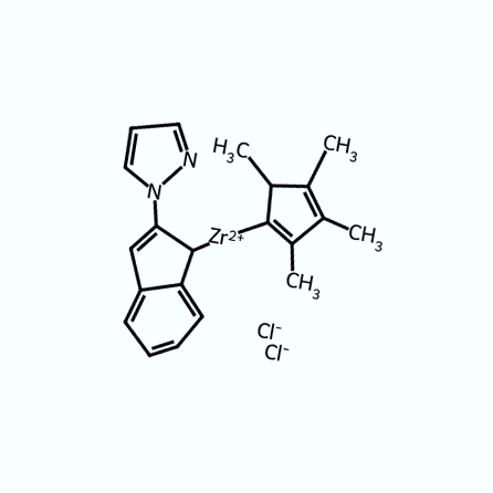 CC1=C(C)C(C)[C]([Zr+2][CH]2C(n3cccn3)=Cc3ccccc32)=C1C.[Cl-].[Cl-]